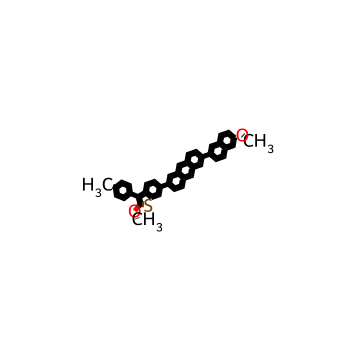 COc1ccc2cc(-c3ccc4cc5cc(-c6ccc7c(-c8ccc(C)cc8)c(OC)sc7c6)ccc5cc4c3)ccc2c1